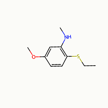 CCSc1ccc(OC)cc1NC